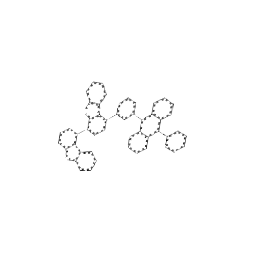 c1ccc(-c2c3ccccc3c(-c3cccc(-c4ccc(-c5cccc6oc7ccccc7c56)c5oc6ccccc6c45)c3)c3ccccc23)cc1